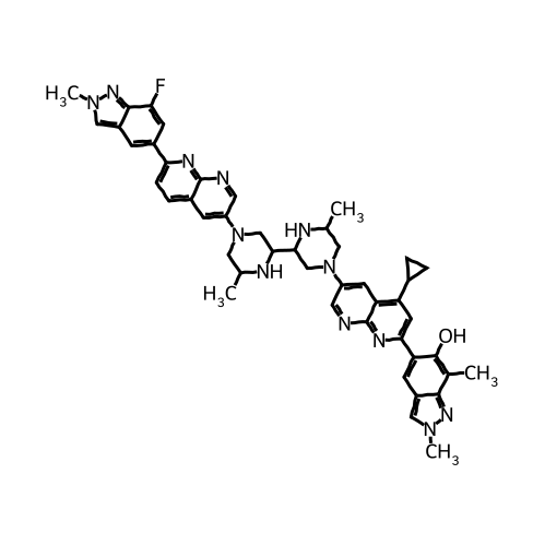 Cc1c(O)c(-c2cc(C3CC3)c3cc(N4CC(C)NC(C5CN(c6cnc7nc(-c8cc(F)c9nn(C)cc9c8)ccc7c6)CC(C)N5)C4)cnc3n2)cc2cn(C)nc12